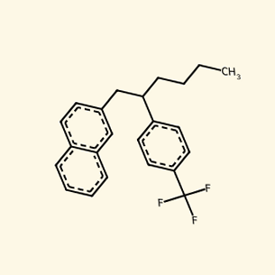 CCCCC(Cc1ccc2ccccc2c1)c1ccc(C(F)(F)F)cc1